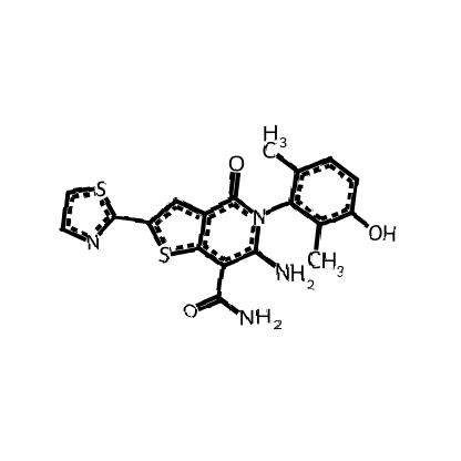 Cc1ccc(O)c(C)c1-n1c(N)c(C(N)=O)c2sc(-c3nccs3)cc2c1=O